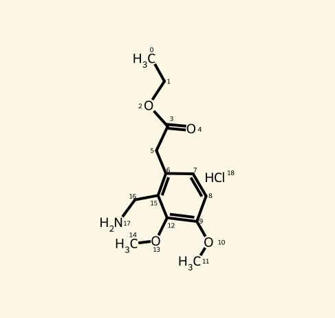 CCOC(=O)Cc1ccc(OC)c(OC)c1CN.Cl